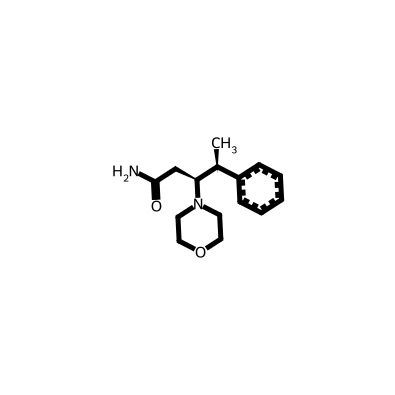 C[C@@H](c1ccccc1)[C@H](CC(N)=O)N1CCOCC1